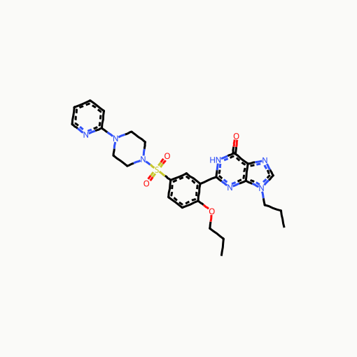 CCCOc1ccc(S(=O)(=O)N2CCN(c3ccccn3)CC2)cc1-c1nc2c(ncn2CCC)c(=O)[nH]1